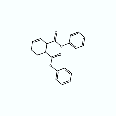 O=C(Oc1ccccc1)C1C=CCCC1C(=O)Oc1ccccc1